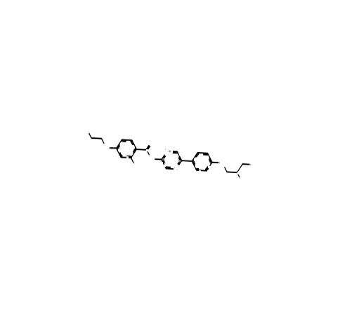 CCCOc1ccc(C(=O)Oc2cnc(-c3ccc(OCC(C)CC)cc3)cn2)c(F)c1